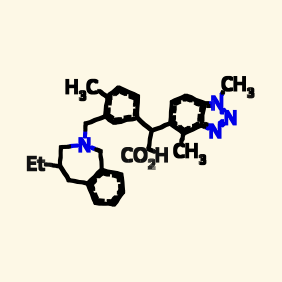 CCC1Cc2ccccc2CN(Cc2cc(C(CC(=O)O)c3ccc4c(nnn4C)c3C)ccc2C)C1